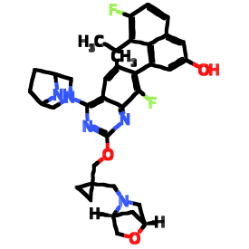 CCc1c(F)ccc2cc(O)cc(-c3c(C)cc4c(N5CC6CCC(C5)N6)nc(OCC5(CN6C[C@H]7C[C@@H]6CO7)CC5)nc4c3F)c12